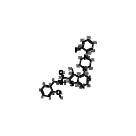 COc1ccccc1CNC(=O)c1sc2ncnc(N3CCN(c4ccccc4F)CC3)c2c1C